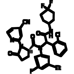 CCc1cc(F)cc(N(C(=O)[C@@H]2CCC(=O)N2c2cc(C#N)ccn2)C(C(=O)NC2CCC(F)(F)CC2)c2ccccc2Cl)c1